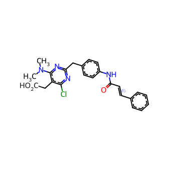 CN(C)c1nc(Cc2ccc(NC(=O)/C=C/c3ccccc3)cc2)nc(Cl)c1CC(=O)O